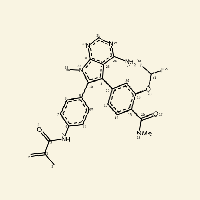 C=C(C)C(=O)Nc1ccc(-c2c(-c3ccc(C(=O)NC)c(OC(F)F)c3)c3c(N)ncnc3n2C)cc1